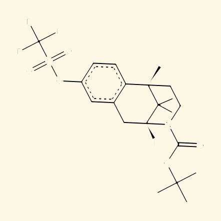 CC(C)(C)OC(=O)N1CC[C@@]2(C)c3ccc(OS(=O)(=O)C(F)(F)F)cc3C[C@@H]1C2(C)C